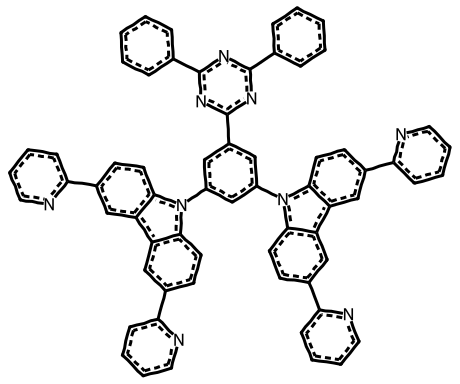 c1ccc(-c2nc(-c3ccccc3)nc(-c3cc(-n4c5ccc(-c6ccccn6)cc5c5cc(-c6ccccn6)ccc54)cc(-n4c5ccc(-c6ccccn6)cc5c5cc(-c6ccccn6)ccc54)c3)n2)cc1